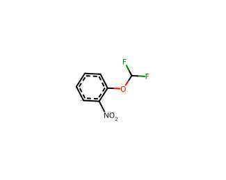 O=[N+]([O-])c1[c]cccc1OC(F)F